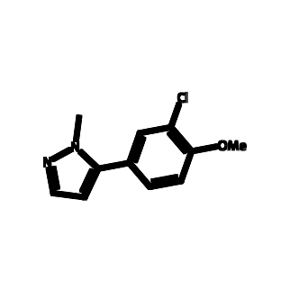 COc1ccc(-c2ccnn2C)cc1Cl